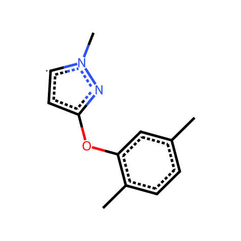 Cc1ccc(C)c(Oc2c[c]n(C)n2)c1